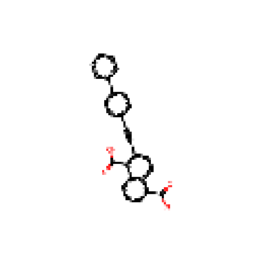 O=C(O)c1cccc2c(C(=O)O)c(C#Cc3ccc(-c4ccccc4)cc3)ccc12